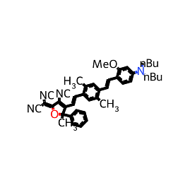 [C-]#[N+]C1=C(/C=C/c2cc(C)c(/C=C/c3ccc(N(CCCC)CCCC)cc3OC)cc2C)C(C)(c2ccccc2)O/C1=C(\C#N)[N+]#[C-]